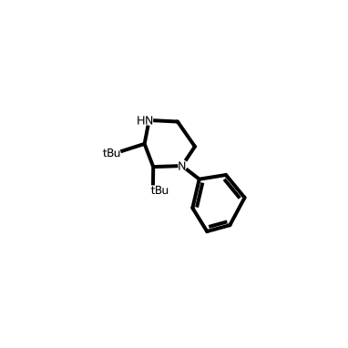 CC(C)(C)C1NCCN(c2ccccc2)C1C(C)(C)C